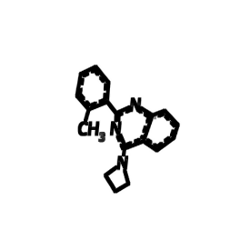 Cc1ccccc1-c1nc(N2CCC2)c2ccccc2n1